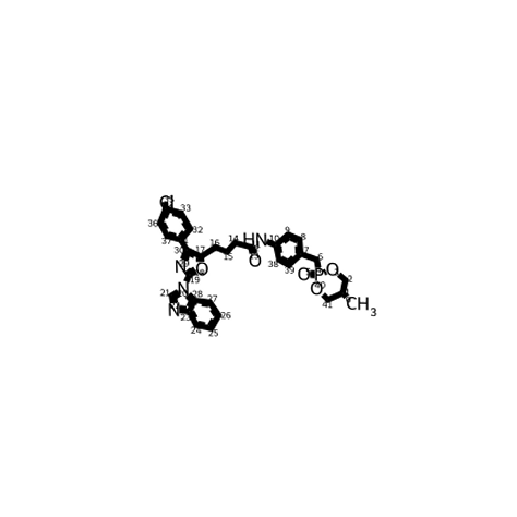 CC1COP(=O)(Cc2ccc(NC(=O)CCCc3oc(-n4cnc5ccccc54)nc3-c3ccc(Cl)cc3)cc2)OC1